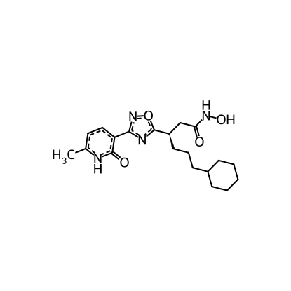 Cc1ccc(-c2noc([C@H](CCCC3CCCCC3)CC(=O)NO)n2)c(=O)[nH]1